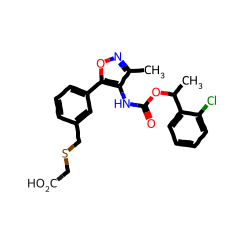 Cc1noc(-c2cccc(CSCC(=O)O)c2)c1NC(=O)OC(C)c1ccccc1Cl